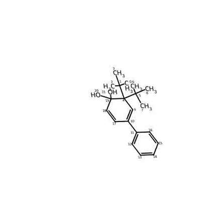 CC(C)(C)C1(C(C)(C)C)C=C(c2ccccc2)C=CC1(O)O